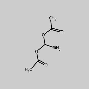 CC(=O)OC([SiH2])OC(C)=O